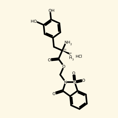 C[C@](N)(Cc1ccc(O)c(O)c1)C(=O)OCN1C(=O)c2ccccc2S1(=O)=O.Cl